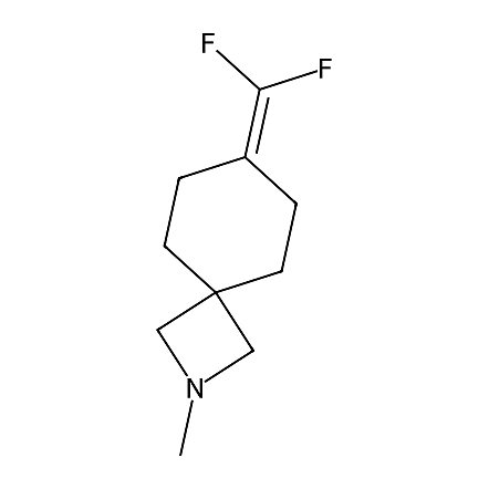 CN1CC2(CCC(=C(F)F)CC2)C1